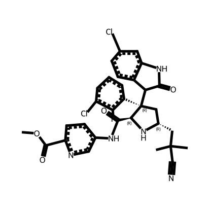 COC(=O)c1ccc(NC(=O)[C@@H]2N[C@@H](CC(C)(C)C#N)C[C@]2(c2cccc(Cl)c2F)C2C(=O)Nc3cc(Cl)ccc32)cn1